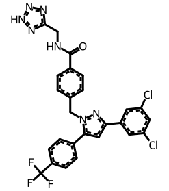 O=C(NCc1nn[nH]n1)c1ccc(Cn2nc(-c3cc(Cl)cc(Cl)c3)cc2-c2ccc(C(F)(F)F)cc2)cc1